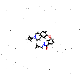 O=C(NCC1CC1)c1cccc(Oc2ccc3c(c2)CCN(C2=CC=C2)CC3)c1